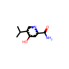 CC(C)c1cnc(C(N)=O)cc1O